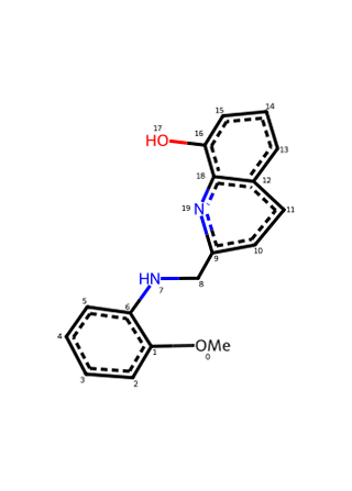 COc1ccccc1NCc1ccc2cccc(O)c2n1